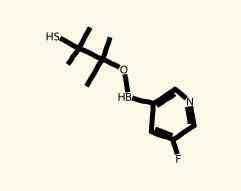 CC(C)(S)C(C)(C)OBc1cncc(F)c1